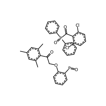 Cc1cc(C)c(C(=O)COc2ccccc2P=O)c(C)c1.O=C(c1c(Cl)cccc1Cl)P(=O)(c1ccccc1)c1ccccc1